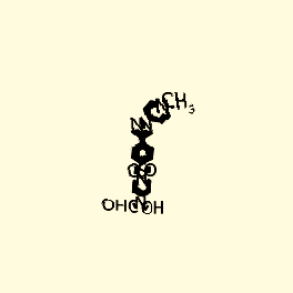 CN1CCC(n2cc(-c3ccc(S(=O)(=O)N4CC=C(N(O)C=O)CC4)cc3)cn2)CC1